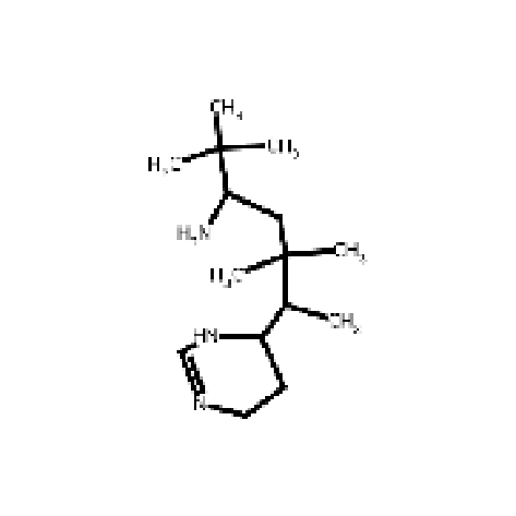 CC(C1CCN=CN1)C(C)(C)CC(N)C(C)(C)C